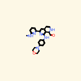 CNc1cccc(-c2cc3c(c(Nc4ccc(N5CCOCC5)cc4)n2)C(C=O)NC=C3)n1